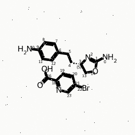 NC1=N[C@@H](CCc2ccc(N)cc2)CO1.O=C(O)c1ccc(Br)cn1